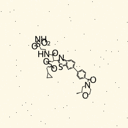 C[C@H]1CN(C(=O)c2ccc(-c3ccc4nc(C(C(=O)NCCS(N)(=O)=O)S(=O)(=O)CC5CC5)sc4c3)cc2)CCO1